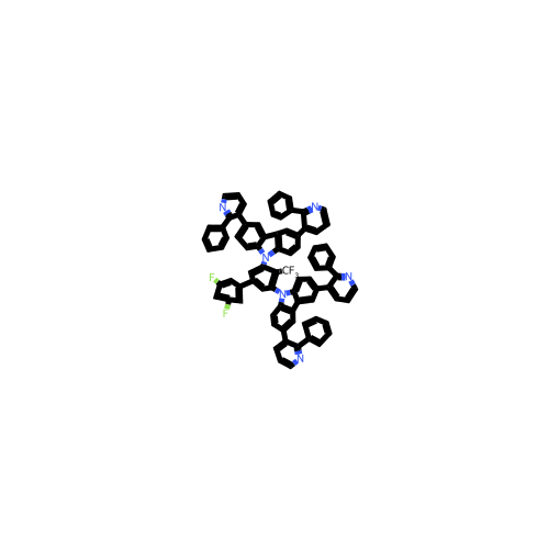 Fc1cc(F)cc(-c2cc(-n3c4ccc(-c5cccnc5-c5ccccc5)cc4c4cc(-c5cccnc5-c5ccccc5)ccc43)c(C(F)(F)F)c(-n3c4ccc(-c5cccnc5-c5ccccc5)cc4c4cc(-c5cccnc5-c5ccccc5)ccc43)c2)c1